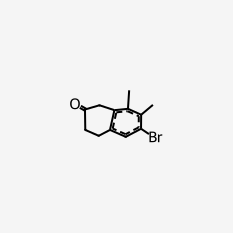 Cc1c(Br)cc2c(c1C)CC(=O)CC2